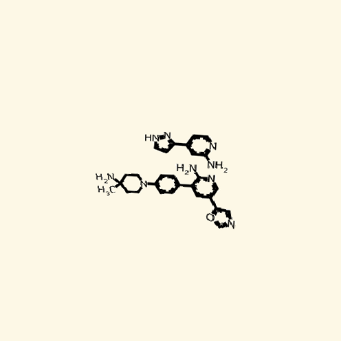 CC1(N)CCN(c2ccc(-c3cc(-c4cnco4)cnc3N)cc2)CC1.Nc1cc(-c2cc[nH]n2)ccn1